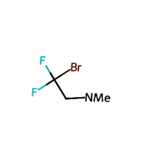 CNCC(F)(F)Br